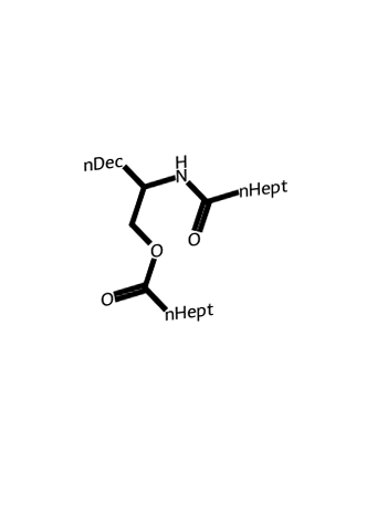 CCCCCCCCCCC(COC(=O)CCCCCCC)NC(=O)CCCCCCC